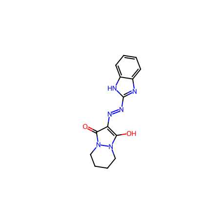 O=c1c(N=Nc2nc3ccccc3[nH]2)c(O)n2n1CCCC2